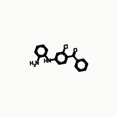 Nc1ccccc1Nc1ccc(C(=O)c2ccccc2)c(Cl)c1